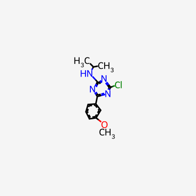 COc1cccc(-c2nc(Cl)nc(NC(C)C)n2)c1